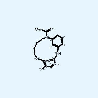 CNC(=O)N1CCCCNc2nc(ncc2Br)Nc2cccc1c2